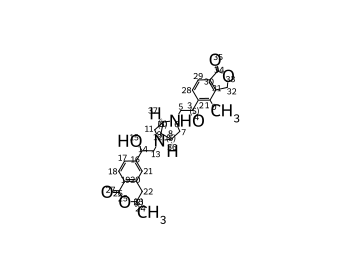 Cc1c([C@H](O)CN2C[C@@H]3C[C@H]2CN3CC(O)c2ccc3c(c2)C[C@@H](C)OC3=O)ccc2c1COC2=O